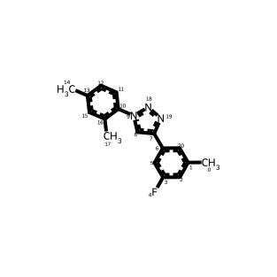 Cc1cc(F)cc(-c2cn(-c3ccc(C)cc3C)nn2)c1